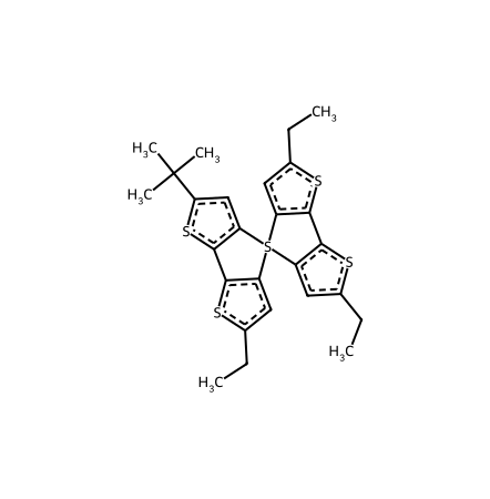 CCc1cc2c(s1)-c1sc(CC)cc1S21c2cc(CC)sc2-c2sc(C(C)(C)C)cc21